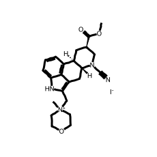 COC(=O)[C@@H]1C[C@@H]2c3cccc4[nH]c(C[N+]5(C)CCOCC5)c(c34)C[C@H]2N(C#N)C1.[I-]